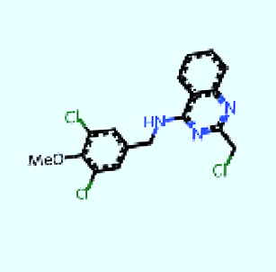 COc1c(Cl)cc(CNc2nc(CCl)nc3ccccc23)cc1Cl